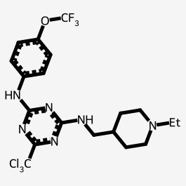 CCN1CCC(CNc2nc(Nc3ccc(OC(F)(F)F)cc3)nc(C(Cl)(Cl)Cl)n2)CC1